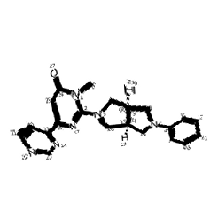 Cn1c(N2C[C@H]3CN(c4ccccc4)C[C@H]3C2)nc(-c2ccncn2)cc1=O